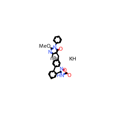 CCCCc1nc(OC)n(-c2ccccc2)c(=O)c1Cc1ccc(-c2ccccc2-c2noc(=O)[nH]2)cc1.[KH]